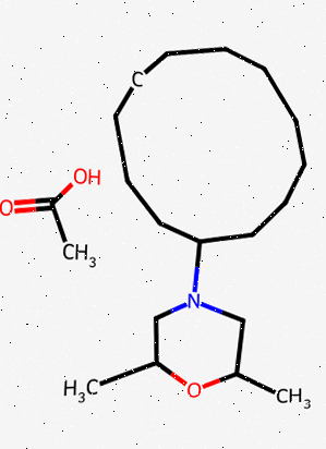 CC(=O)O.CC1CN(C2CCCCCCCCCCC2)CC(C)O1